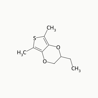 CCC1COc2c(C)sc(C)c2O1